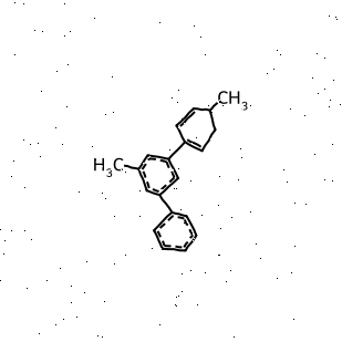 Cc1cc(C2=CCC(C)C=C2)cc(-c2ccccc2)c1